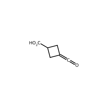 O=C=C1CC(C(=O)O)C1